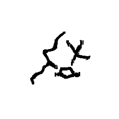 CC=COC(=O)OC=CC.F[B-](F)(F)F.c1c[nH+]c[nH]1